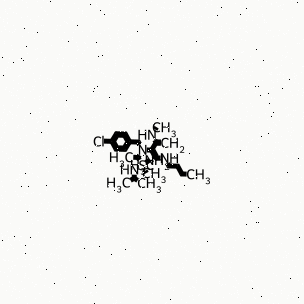 C=C(NC)/C(=C(/C)NCCCC)N(Cc1ccc(Cl)cc1)C(C)S(C)(N)NC(C)C